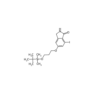 CC(C)(C)[Si](C)(C)OCCCOc1cc(I)c2c(c1)CNC2=O